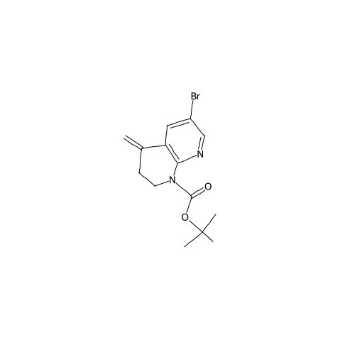 C=C1CCN(C(=O)OC(C)(C)C)c2ncc(Br)cc21